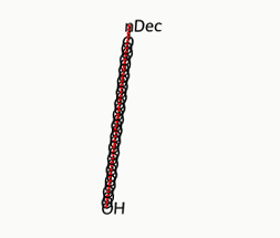 CCCCCCCCCCCCCCCCCCOCCOCCOCCOCCOCCOCCOCCOCCOCCOCCOCCOCCOCCOCCOCCOCCOCCOCCOCCOCCOCCOCCOCCOCCOCCOCCOCCOCCOCCOCCO